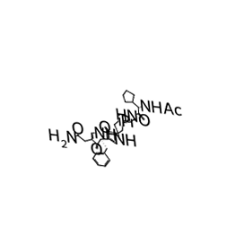 CC(=O)N[C@H](C(=O)NCCCC1(CC(C)C)NC=C([C@]2(Cc3ccccc3)NC=C(CC(N)=O)C2=O)C1=O)C1CCCC1